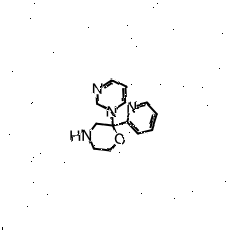 C1=CN(C2(c3ccccn3)CNCCO2)CN=C1